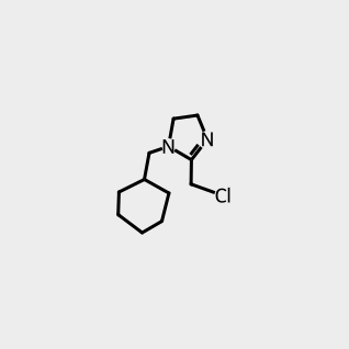 ClCC1=NCCN1CC1CCCCC1